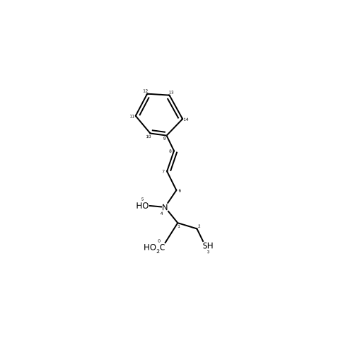 O=C(O)C(CS)N(O)C/C=C/c1ccccc1